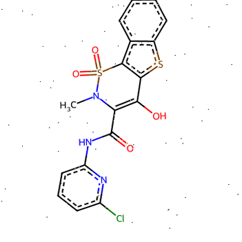 CN1C(C(=O)Nc2cccc(Cl)n2)=C(O)c2sc3ccccc3c2S1(=O)=O